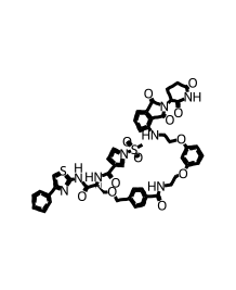 CS(=O)(=O)n1ccc(C(=O)N[C@@H](COCc2ccc(C(=O)NCCOc3cccc(OCCNc4cccc5c4C(=O)N(C4CCC(=O)NC4=O)C5=O)c3)cc2)C(=O)Nc2nc(-c3ccccc3)cs2)c1